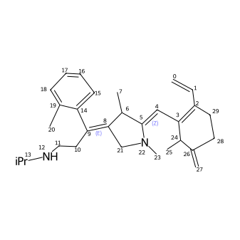 C=CC1=C(/C=C2/C(C)/C(=C(/CCNC(C)C)c3ccccc3C)CN2C)C(C)C(=C)CC1